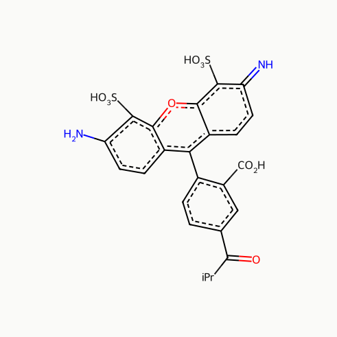 CC(C)C(=O)c1ccc(-c2c3ccc(=N)c(S(=O)(=O)O)c-3oc3c(S(=O)(=O)O)c(N)ccc23)c(C(=O)O)c1